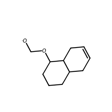 [O]COC1CCCC2CC=CCC21